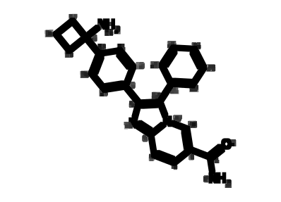 NC(=O)c1ccc2nc(-c3ccc(C4(N)CCC4)cc3)c(-c3ccccc3)n2c1